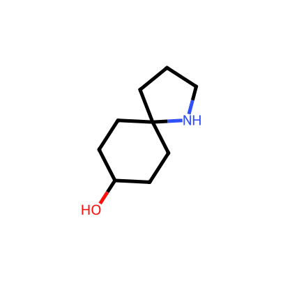 OC1CCC2(CCCN2)CC1